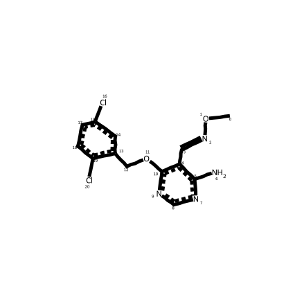 CON=Cc1c(N)ncnc1OCc1cc(Cl)ccc1Cl